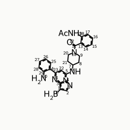 Bc1cnn2c(NC3CCN(C(=O)c4ccccc4NC(C)=O)CC3)cc(-c3ccccc3N)nc12